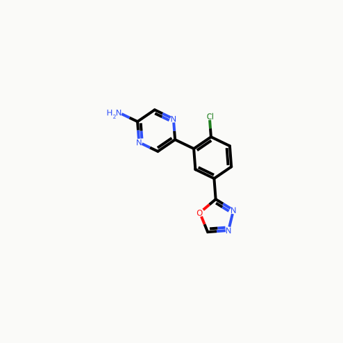 Nc1cnc(-c2cc(-c3nnco3)ccc2Cl)cn1